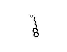 [CH2]CCC/C=C/c1ccc2ccccc2c1